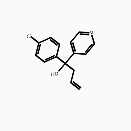 C=CCC(O)(c1ccncc1)c1ccc(Cl)cc1